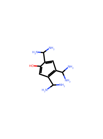 NC(N)c1cc(C(N)N)c(C(N)N)cc1O